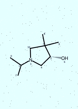 CC(C)N1C[C@@H](O)C(C)(C)C1